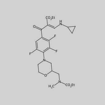 CCOC(=O)C(=CNC1CC1)C(=O)c1cc(F)c(N2CCOC(CN(C)C(=O)OCC)C2)c(F)c1F